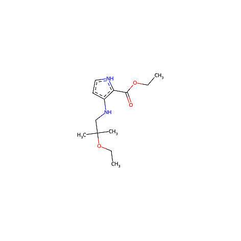 CCOC(=O)c1[nH]ccc1NCC(C)(C)OCC